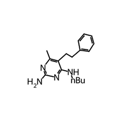 CCCCNc1nc(N)nc(C)c1CCc1ccccc1